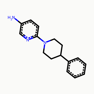 Nc1ccc(N2CCC(c3ccccc3)CC2)nc1